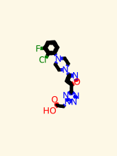 O=C(O)Cn1nnc(-c2cc(N3CCN(c4cccc(F)c4Cl)CC3)no2)n1